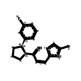 N=C(/C=C\c1ncc(Br)[nH]1)N1CCC[C@@H]1c1cccc(F)c1